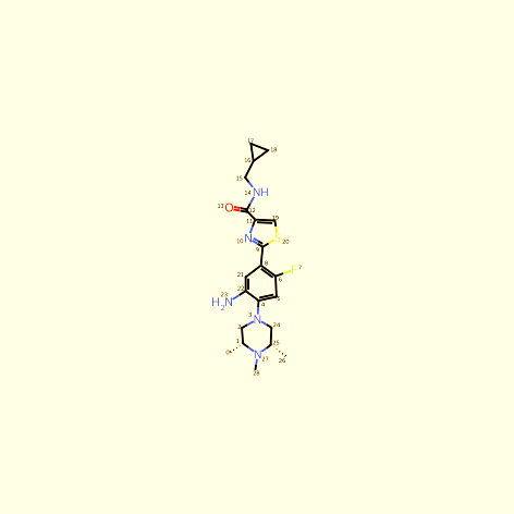 C[C@@H]1CN(c2cc(F)c(-c3nc(C(=O)NCC4CC4)cs3)cc2N)C[C@H](C)N1C